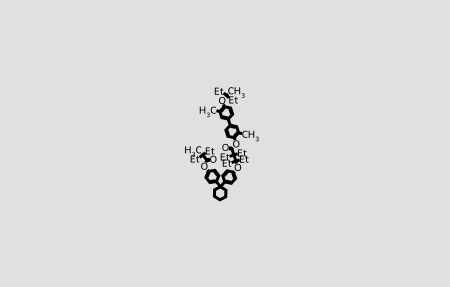 CCC(C)(CC)Oc1ccc(-c2ccc(OC(=O)C(CC)(CC)C(CC)(CC)Oc3ccc(C4(c5ccc(OC(=O)C(C)(CC)CC)cc5)CCCCC4)cc3)c(C)c2)cc1C